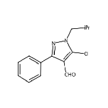 CC(C)Cn1nc(-c2ccccc2)c(C=O)c1Cl